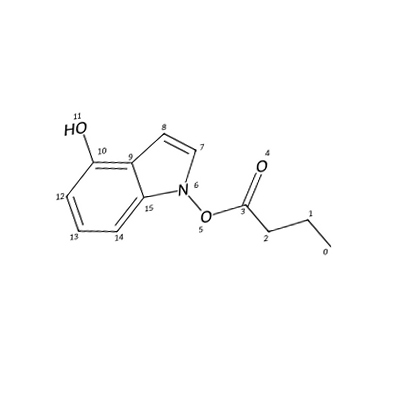 CCCC(=O)On1ccc2c(O)cccc21